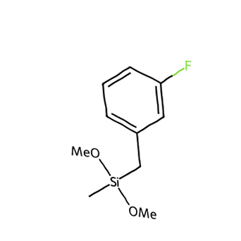 CO[Si](C)(Cc1cccc(F)c1)OC